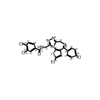 CCc1cc2c(s1)-n1c(nnc1CNC(=O)c1ccc(Cl)c(Cl)c1)CN=C2c1ccc(Cl)cc1